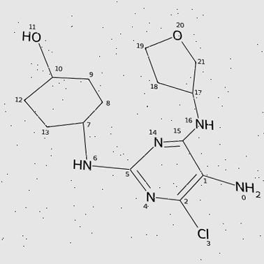 Nc1c(Cl)nc(NC2CCC(O)CC2)nc1NC1CCOC1